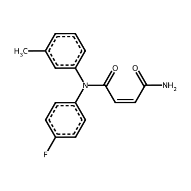 Cc1cccc(N(C(=O)/C=C\C(N)=O)c2ccc(F)cc2)c1